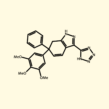 COc1cc(C2(c3ccccc3)C=Cc3c(-c4nnn[nH]4)n[nH]c3C2)cc(OC)c1OC